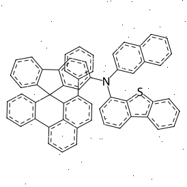 c1ccc(-c2ccc3cccc4c3c2C2(c3ccccc3-c3ccc(N(c5ccc6ccccc6c5)c5cccc6c5sc5ccccc56)cc32)c2ccccc2-4)cc1